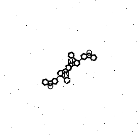 c1ccc2c(c1)oc1ccc(-c3ccc4c5cc6c(cc5n5c7ccccc7c3c45)c3ccc(-c4ccc5oc7ccccc7c5c4)c4c5ccccc5n6c34)cc12